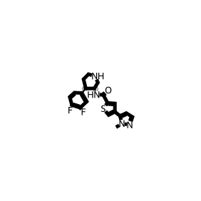 Cn1nccc1-c1csc(C(=O)N[C@H]2CNCC[C@@H]2c2ccc(F)c(F)c2)c1